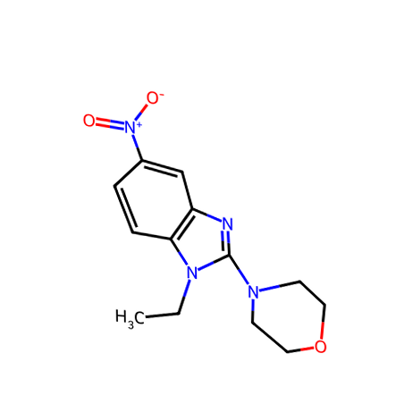 CCn1c(N2CCOCC2)nc2cc([N+](=O)[O-])ccc21